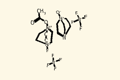 CC(=O)O[N+]12CC[N+](F)(CC1)CC2.F[B-](F)(F)F.F[B-](F)(F)F.[O-][N+]12CCN(CC1)CC2